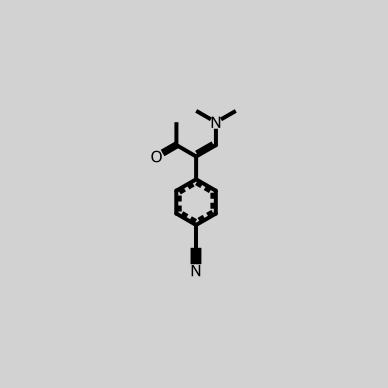 CC(=O)C(=CN(C)C)c1ccc(C#N)cc1